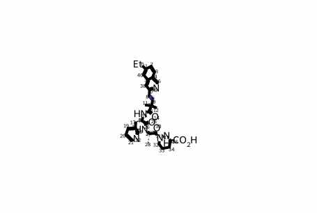 CCc1ccc2cnc(/C=C/C(C)(C)C(=O)N[C@@H](Cc3cccnc3)C(=O)N[C@@H](C)C(=O)N3CCC[C@@H](C(=O)O)N3)cc2c1